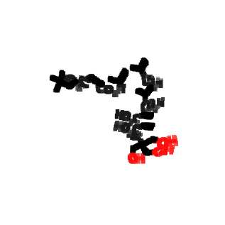 C=C(C)C(=O)O.C=C(C)C(=O)O.C=C(C)C(=O)O.C=CC(=O)O.C=CC(=O)O.C=CC(=O)O.CCC(C)(C)C.CCC(CO)(CO)CO